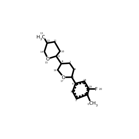 Cc1ccc(C2CCC(C3CCC(C)CO3)CO2)cc1F